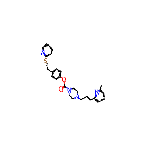 Cc1cccc(CCCN2CCN(C(=O)Oc3ccc(CCSc4ccccn4)cc3)CC2)n1